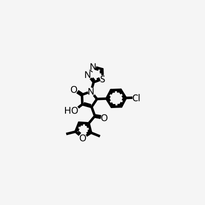 Cc1cc(C(=O)C2=C(O)C(=O)N(c3nncs3)C2c2ccc(Cl)cc2)c(C)o1